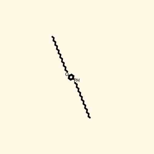 CCCCCCCCCCCCCCCCCCOc1ccc(PCCCCCCCCCCCCCCCCCC)cc1